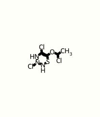 CC(Cl)Oc1s[nH]n(Cl)[nH]c1Cl